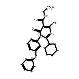 O=C(O)CNC(=O)c1c(O)nc(C2CCCCC2)n(-c2cccc(Oc3ccccc3)c2)c1=O